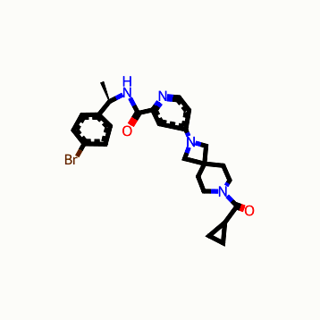 C[C@@H](NC(=O)c1cc(N2CC3(CCN(C(=O)C4CC4)CC3)C2)ccn1)c1ccc(Br)cc1